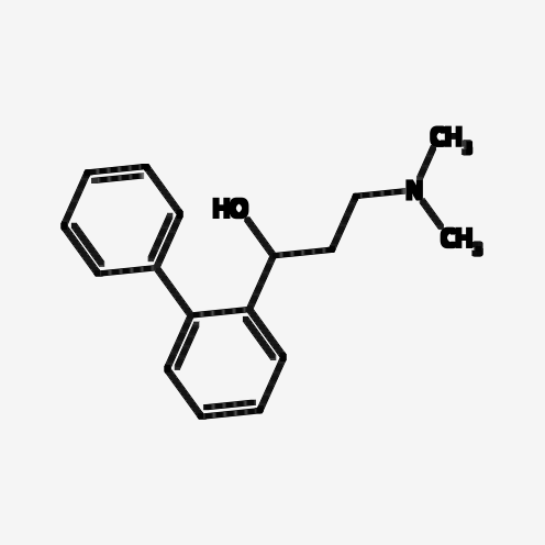 CN(C)CCC(O)c1ccccc1-c1ccccc1